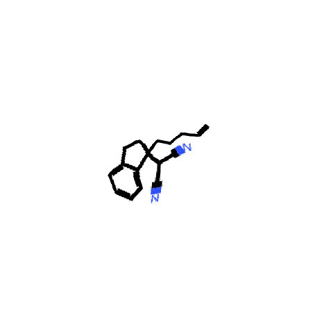 C=CCCCC1(C(C#N)C#N)CCc2ccccc21